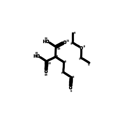 CCOCC.O=CCCC(C(=O)O)C(=O)O